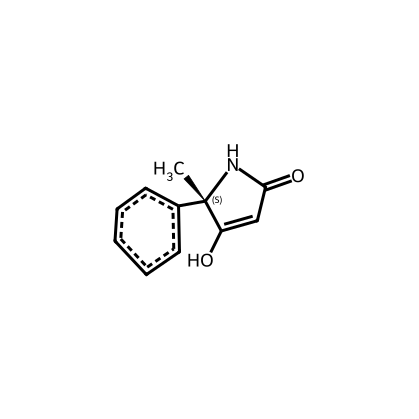 C[C@@]1(c2ccccc2)NC(=O)C=C1O